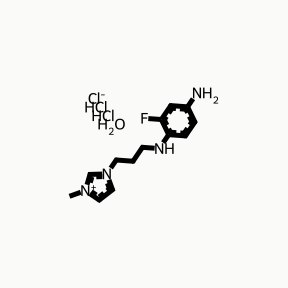 C[n+]1ccn(CCCNc2ccc(N)cc2F)c1.Cl.Cl.O.[Cl-]